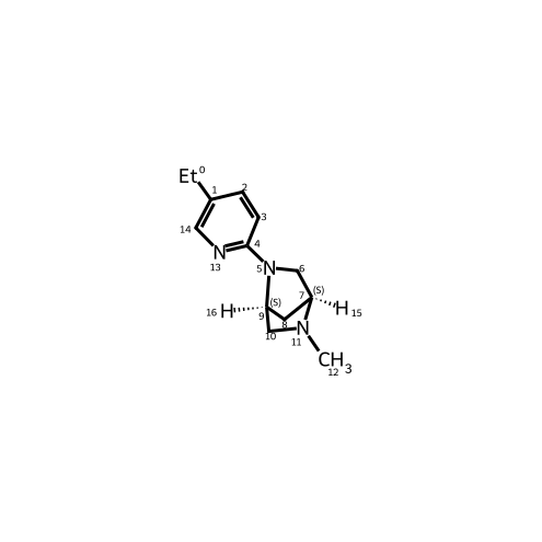 CCc1ccc(N2C[C@@H]3C[C@H]2CN3C)nc1